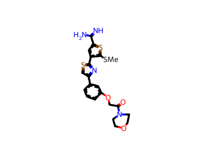 CSc1sc(C(=N)N)cc1-c1nc(-c2cccc(OCC(=O)N3CCOCC3)c2)cs1